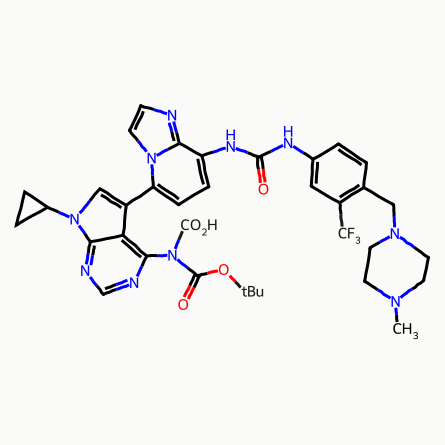 CN1CCN(Cc2ccc(NC(=O)Nc3ccc(-c4cn(C5CC5)c5ncnc(N(C(=O)O)C(=O)OC(C)(C)C)c45)n4ccnc34)cc2C(F)(F)F)CC1